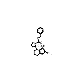 O=C(OCc1ccccc1)N1CCC[C@@]1(C(=O)O)C1CCCc2cc(C(F)(F)F)ccc21